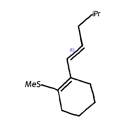 CSC1=C(/C=C/CC(C)C)CCCC1